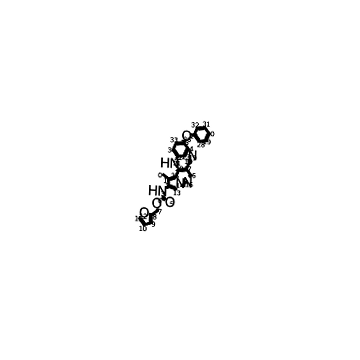 Cc1c(NC(=O)OCc2ccco2)cn2ncc(C#N)c(Nc3ccc(Oc4ccccc4)cc3)c12